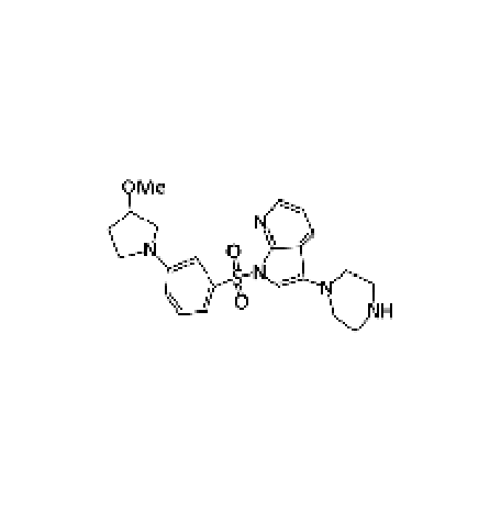 COC1CCN(c2cccc(S(=O)(=O)n3cc(N4CCNCC4)c4cccnc43)c2)C1